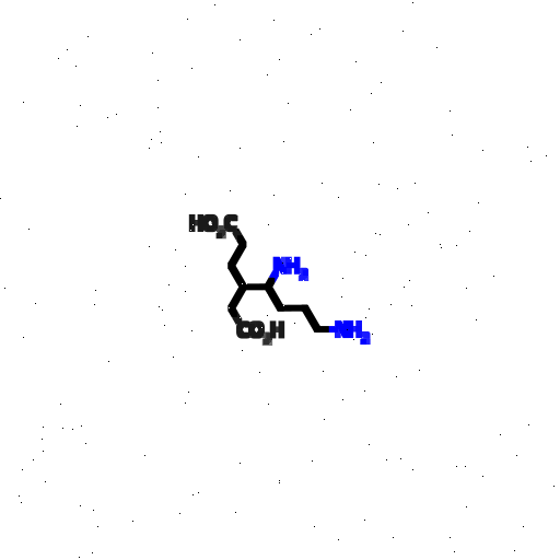 NCCCC(N)C(CCC(=O)O)CC(=O)O